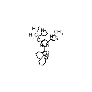 Cc1nc(-c2cc(O[C@@H](C)[C@@H]3CCCN3C)nc(-c3onc4c3CCC[C@@]43CCCCC3=O)n2)cs1